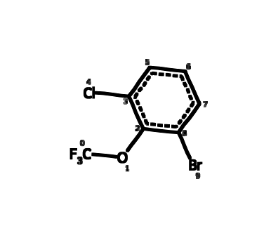 FC(F)(F)Oc1c(Cl)cccc1Br